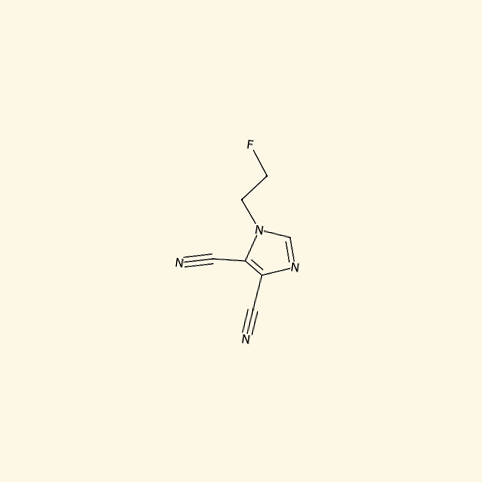 N#Cc1ncn(CCF)c1C#N